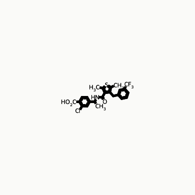 Cc1sc(C)c(C(=O)NC(C)c2ccc(C(=O)O)c(Cl)c2)c1Cc1cccc(C(F)(F)F)c1